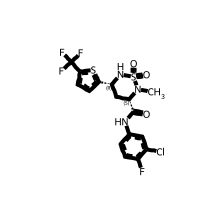 CN1[C@H](C(=O)Nc2ccc(F)c(Cl)c2)C[C@H](c2ccc(C(F)(F)F)s2)NS1(=O)=O